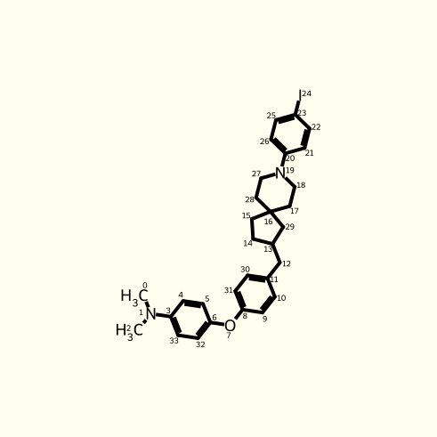 CN(C)c1ccc(Oc2ccc(CC3CCC4(CCN(c5ccc(I)cc5)CC4)C3)cc2)cc1